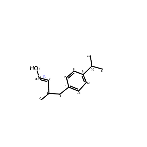 CC(/C=N/O)Cc1ccc(C(C)C)cc1